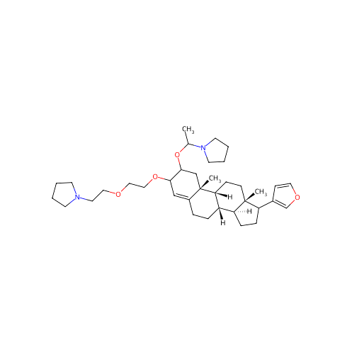 CC(OC1C[C@@]2(C)C(=CC1OCCOCCN1CCCC1)CC[C@@H]1[C@H]2CC[C@]2(C)C(c3ccoc3)CC[C@@H]12)N1CCCC1